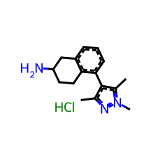 Cc1nn(C)c(C)c1-c1cccc2c1CCC(N)C2.Cl